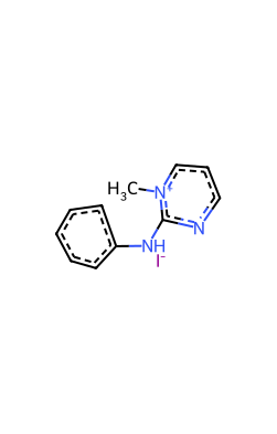 C[n+]1cccnc1Nc1ccccc1.[I-]